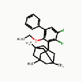 COCOc1c(-c2ccccc2)cc(F)c(Br)c1C12CC3(C)CC(C)(CC(C)(C3)C1)C2